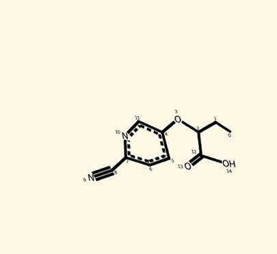 CCC(Oc1ccc(C#N)nc1)C(=O)O